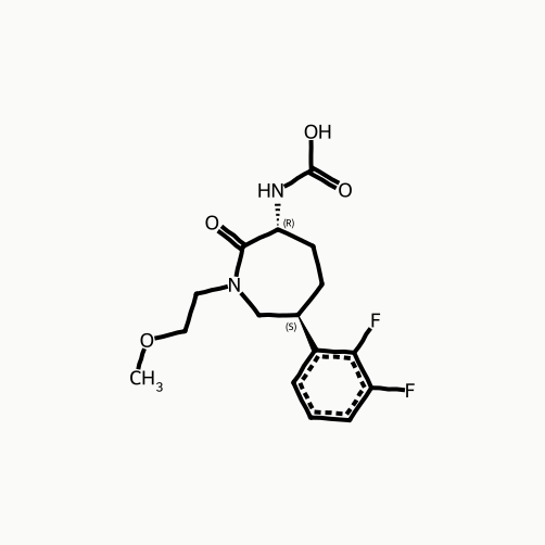 COCCN1C[C@H](c2cccc(F)c2F)CC[C@@H](NC(=O)O)C1=O